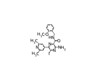 COc1ccccc1CNC(=O)c1nc(-c2cc(C)nc(C)c2)c(I)nc1N